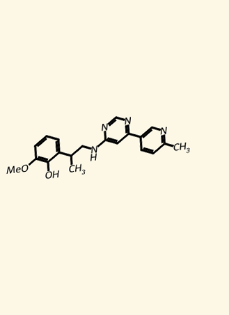 COc1cccc(C(C)CNc2cc(-c3ccc(C)nc3)ncn2)c1O